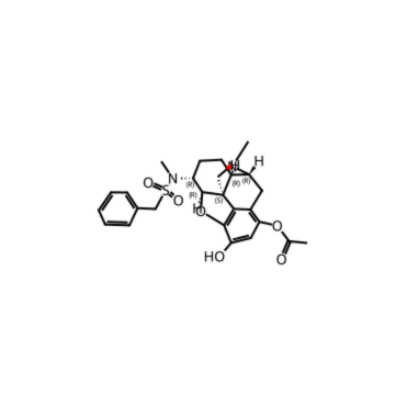 CC(=O)Oc1cc(O)c2c3c1C[C@@H]1[C@@H]4CC[C@@H](N(C)S(=O)(=O)Cc5ccccc5)[C@H](O2)[C@]34CCN1C